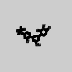 CC(C)(C)c1cc(-c2ccc(NS(C)(=O)=O)cc2Cl)cc(N2CCC(=O)NC2=O)c1